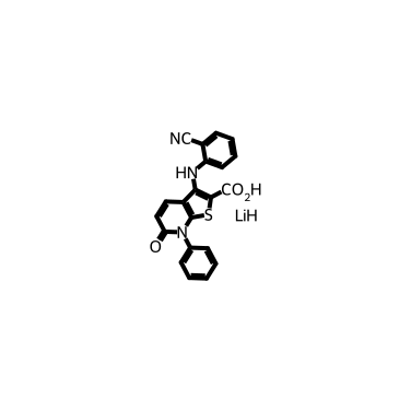 N#Cc1ccccc1Nc1c(C(=O)O)sc2c1ccc(=O)n2-c1ccccc1.[LiH]